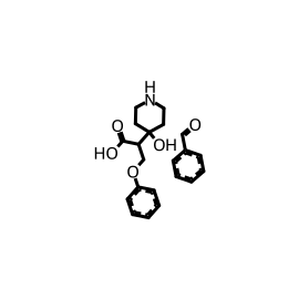 O=C(O)C(COc1ccccc1)C1(O)CCNCC1.O=Cc1ccccc1